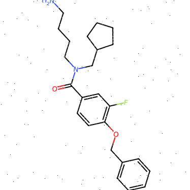 NCCCCN(CC1CCCC1)C(=O)c1ccc(OCc2ccccc2)c(F)c1